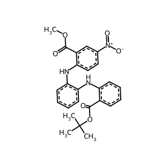 COC(=O)c1cc([N+](=O)[O-])ccc1Nc1ccccc1Nc1ccccc1C(=O)OC(C)(C)C